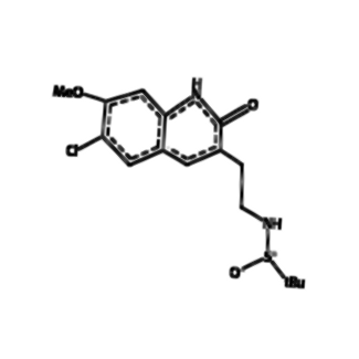 COc1cc2[nH]c(=O)c(CCN[S+]([O-])C(C)(C)C)cc2cc1Cl